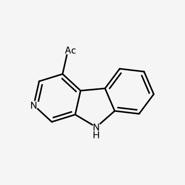 CC(=O)c1cncc2[nH]c3ccccc3c12